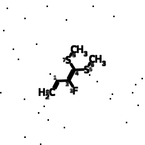 C=CC(F)=C(SC)SC